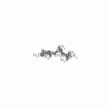 C=C(CCOc1cc(-c2cc(-c3cc(OC)c(OC)c(OC)c3)no2)ccc1OC)COc1ccc(C2NC(=O)c3cc(C)ccc3N2)cc1OC